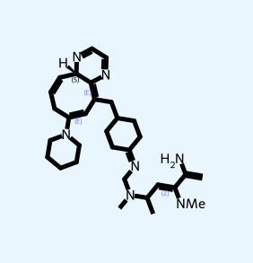 C=C(N)/C(=C/C(C)N(C)CN=C1CCC(CC2=C3\N=CC=N[C@H]3C=CC/C(N3CCCCC3)=C\2)CC1)NC